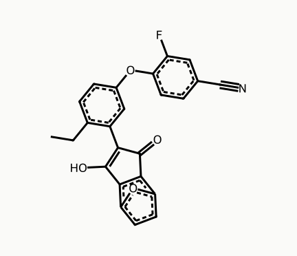 CCc1ccc(Oc2ccc(C#N)cc2F)cc1C1=C(O)c2c(c3ccc2o3)C1=O